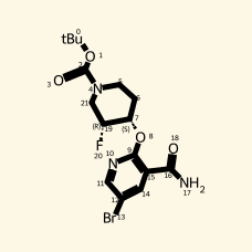 CC(C)(C)OC(=O)N1CC[C@H](Oc2ncc(Br)cc2C(N)=O)[C@H](F)C1